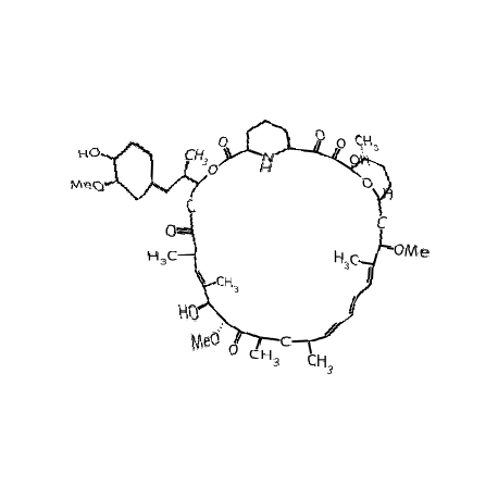 COC1C[C@@H]2CC[C@@H](C)[C@@](O)(O2)C(=O)C(=O)C2CCCC(N2)C(=O)OC([C@H](C)CC2CCC(O)[C@H](OC)C2)CC(=O)C(C)/C=C(\C)C(O)[C@@H](OC)C(=O)C(C)CC(C)/C=C/C=C/C=C/1C